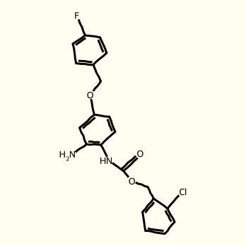 Nc1cc(OCc2ccc(F)cc2)ccc1NC(=O)OCc1ccccc1Cl